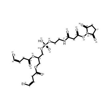 CC/C=C\CC(=O)OCC(COP(=O)(O)OCCNC(=O)CC(=O)ON1C(=O)CCC1=O)OC(=O)C/C=C\CC